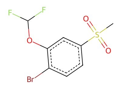 CS(=O)(=O)c1ccc(Br)c(OC(F)F)c1